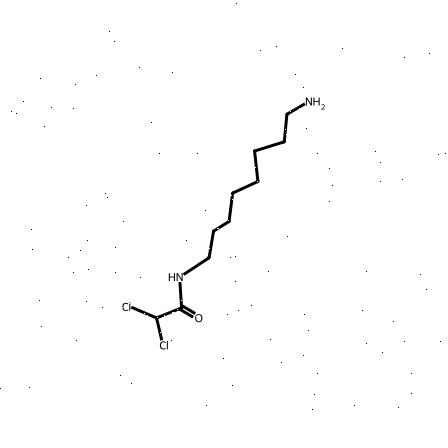 NCCCCCCCCNC(=O)C(Cl)Cl